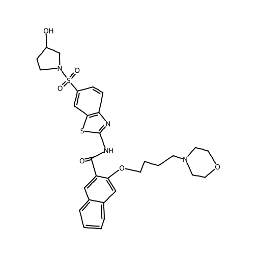 O=C(Nc1nc2ccc(S(=O)(=O)N3CCC(O)C3)cc2s1)c1cc2ccccc2cc1OCCCCN1CCOCC1